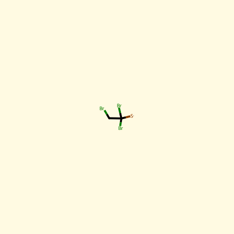 [S]C(Br)(Br)CBr